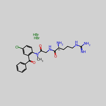 Br.Br.CN(C(=O)CNC(=O)[C@@H](N)CCCNC(=N)N)c1ccc(Cl)cc1C(=O)c1ccccc1